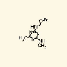 CNc1nc(C)nc(NCOBr)n1